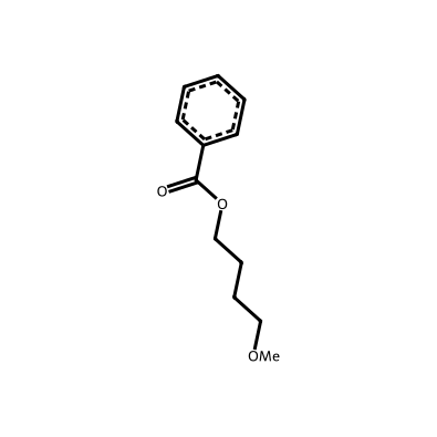 COCCCCOC(=O)c1ccccc1